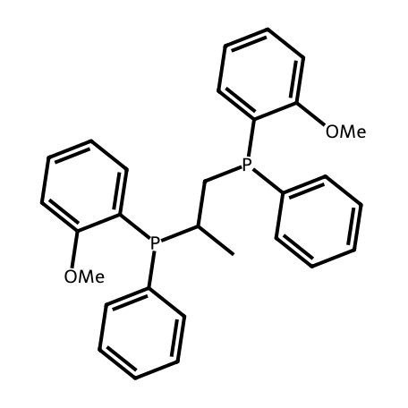 COc1ccccc1P(CC(C)P(c1ccccc1)c1ccccc1OC)c1ccccc1